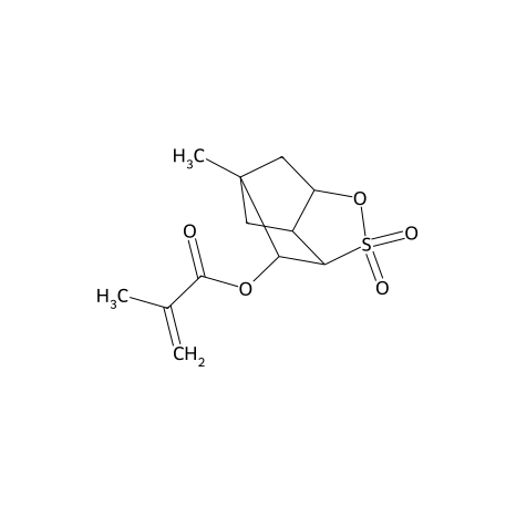 C=C(C)C(=O)OC1C2C3CC1(C)CC3OS2(=O)=O